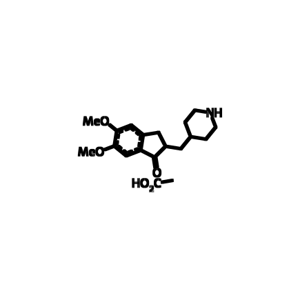 CC(=O)O.COc1cc2c(cc1OC)C(=O)C(CC1CCNCC1)C2